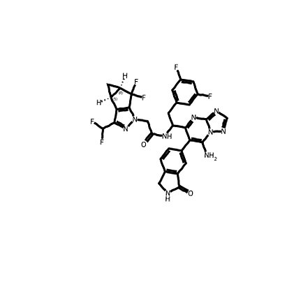 Nc1c(-c2ccc3c(c2)C(=O)NC3)c(C(Cc2cc(F)cc(F)c2)NC(=O)Cn2nc(C(F)F)c3c2C(F)(F)[C@@H]2C[C@H]32)nc2ncnn12